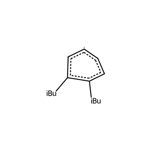 CCC(C)c1c[c]ccc1C(C)CC